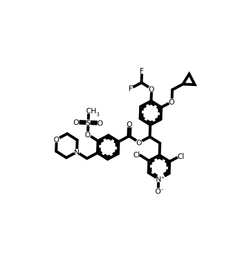 CS(=O)(=O)Oc1cc(C(=O)OC(Cc2c(Cl)c[n+]([O-])cc2Cl)c2ccc(OC(F)F)c(OCC3CC3)c2)ccc1CN1CCOCC1